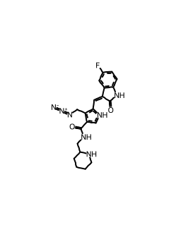 [N-]=[N+]=NCc1c(C(=O)NCC2CCCCN2)c[nH]c1/C=C1\C(=O)Nc2ccc(F)cc21